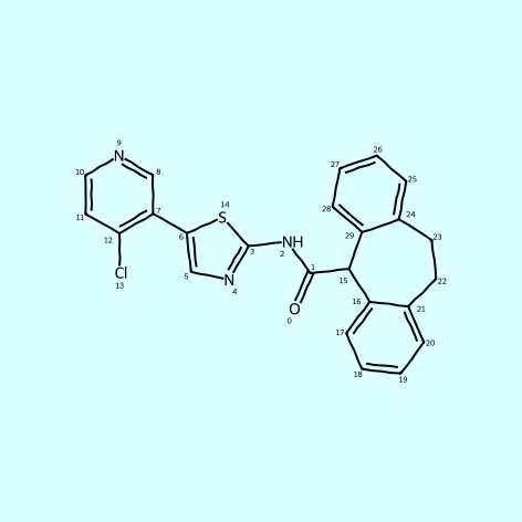 O=C(Nc1ncc(-c2cnccc2Cl)s1)C1c2ccccc2CCc2ccccc21